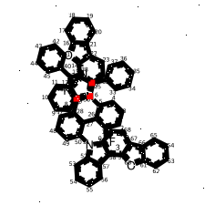 FC(F)(F)c1cccc(-n2c3ccccc3c3c4oc5ccccc5c4ccc32)c1-c1c(-c2nc(-c3ccccc3)nc(-c3ccccc3)n2)cccc1-n1c2ccccc2c2c3oc4ccccc4c3ccc21